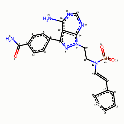 NC(=O)c1ccc(-c2nn(CCN(C=Cc3ccccc3)[SH](=O)=O)c3ncnc(N)c23)cc1